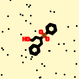 O=S(=O)(c1ccccc1)C(CCO)Cc1ccccc1